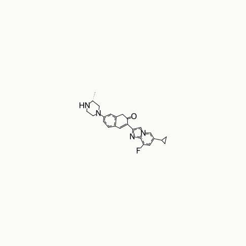 C[C@@H]1CN(c2ccc3c(c2)CC(=O)C(c2cn4cc(C5CC5)cc(F)c4n2)=C3)CCN1